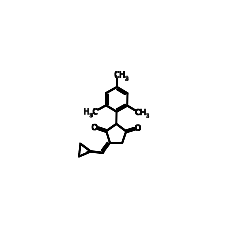 Cc1cc(C)c(C2C(=O)CC(=CC3CC3)C2=O)c(C)c1